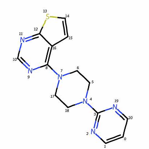 c1cnc(N2CCN(c3ncnc4sccc34)CC2)nc1